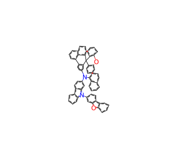 c1ccc2c(c1)Oc1ccccc1C21c2cc(N(c3ccc4c5ccccc5n(-c5ccc6c(c5)oc5ccccc56)c4c3)c3cccc4ccccc34)ccc2-c2cccc3cccc1c23